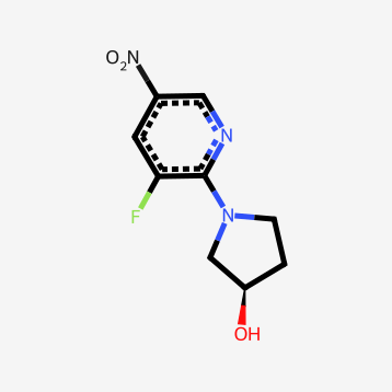 O=[N+]([O-])c1cnc(N2CC[C@@H](O)C2)c(F)c1